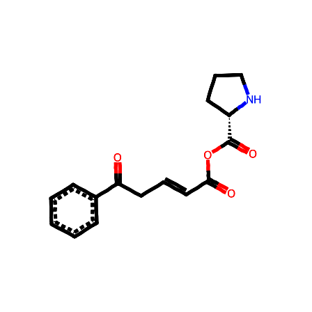 O=C(C=CCC(=O)c1ccccc1)OC(=O)[C@@H]1CCCN1